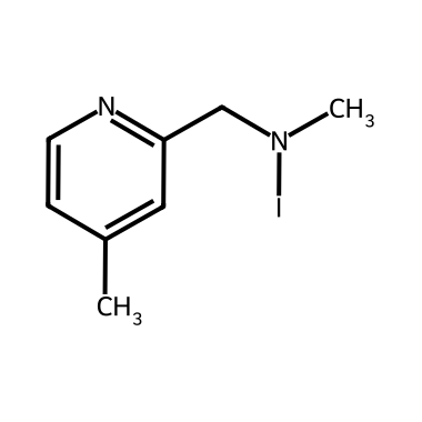 Cc1ccnc(CN(C)I)c1